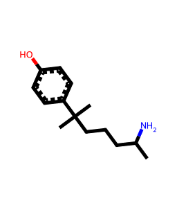 CC(N)CCCC(C)(C)c1ccc(O)cc1